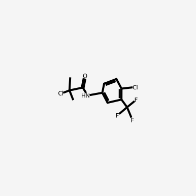 CC(C)(Cl)C(=O)Nc1ccc(Cl)c(C(F)(F)F)c1